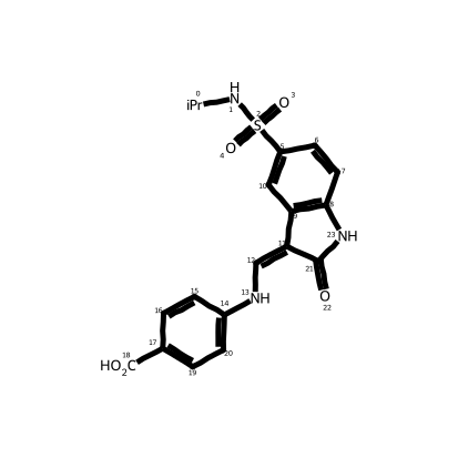 CC(C)NS(=O)(=O)c1ccc2c(c1)C(=CNc1ccc(C(=O)O)cc1)C(=O)N2